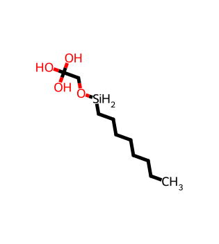 CCCCCCCC[SiH2]OCC(O)(O)O